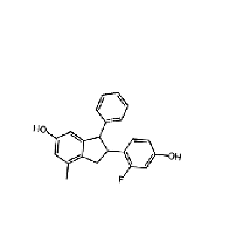 Cc1cc(O)cc2c1CC(c1ccc(O)cc1F)C2c1ccccc1